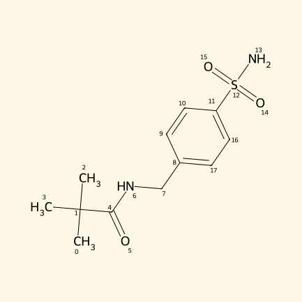 CC(C)(C)C(=O)NCc1ccc(S(N)(=O)=O)cc1